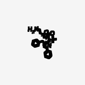 CC(C)(C)[C@H](C1=NC(c2ccccc2)CN1Cc1ccccc1)N1C[C@@H](CCN)OC1=O